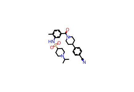 Cc1ccc(C(=O)N2CCC(c3ccc(C#N)cc3)CC2)cc1NS(=O)(=O)C1CCN(C(C)C)CC1